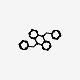 c1ccc(CN2c3ccccc3N(Cc3ccccc3)c3ccccc32)cc1